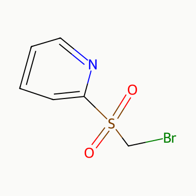 O=S(=O)(CBr)c1ccccn1